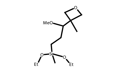 CCO[Si](C)(CCC(OC)C1(C)COC1)OCC